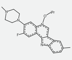 Cc1ccc2nc3c4cc(F)c(N5CCN(C)CC5)cc4n(OC(C)C)cc-3c2c1